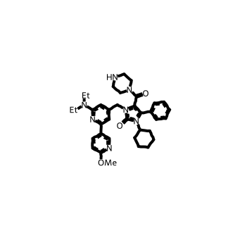 CCN(CC)c1cc(Cn2c(C(=O)N3CCNCC3)c(-c3ccccc3)n(C3CCCCC3)c2=O)cc(-c2ccc(OC)nc2)n1